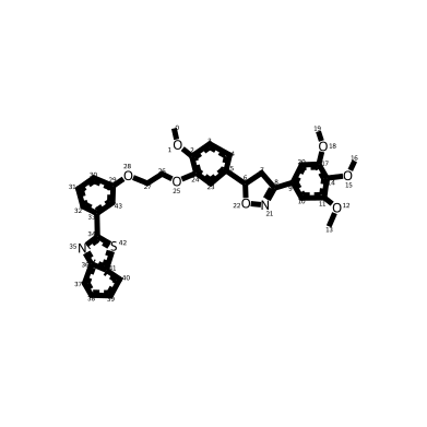 COc1ccc(C2CC(c3cc(OC)c(OC)c(OC)c3)=NO2)cc1OCCOc1cccc(-c2nc3ccccc3s2)c1